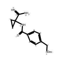 CCCCCCCCCCCc1ccc(C(=O)NC2(C(=N)N)CC2)cc1